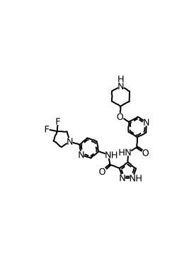 O=C(Nc1c[nH]nc1C(=O)Nc1ccc(N2CCC(F)(F)C2)nc1)c1cncc(OC2CCNCC2)c1